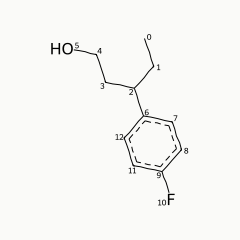 CCC(CCO)c1ccc(F)cc1